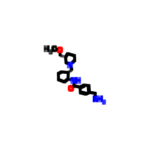 COC[C@@H]1CCCN(C[C@H]2CCCC[C@@H]2NC(=O)c2ccc(CN)cc2)C1